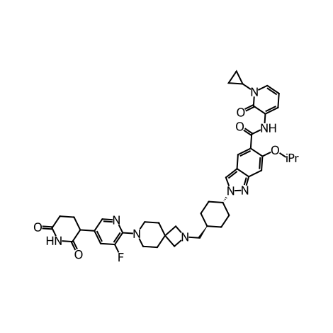 CC(C)Oc1cc2nn([C@H]3CC[C@H](CN4CC5(CCN(c6ncc(C7CCC(=O)NC7=O)cc6F)CC5)C4)CC3)cc2cc1C(=O)Nc1cccn(C2CC2)c1=O